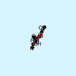 Cc1nc(C(=O)N2Cc3cc4c(cc3C[C@H]2C(=O)N[C@@H](Cc2ccc(-c3ccnc(C)c3C)cc2)C(=O)O)OC[C@H](c2ccc(OCc3ccccc3Cl)cc2)O4)c(C)o1